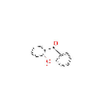 COc1ccccc1C(=O)c1cc[c]cc1